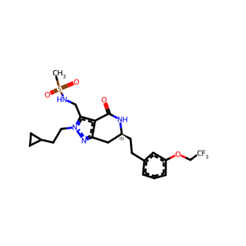 CS(=O)(=O)NCc1c2c(nn1CCC1CC1)C[C@H](CCc1cccc(OCC(F)(F)F)c1)NC2=O